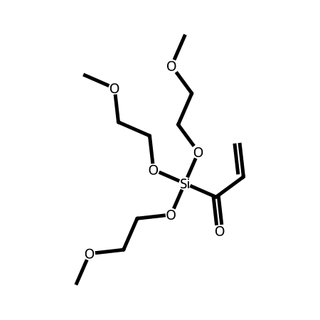 C=CC(=O)[Si](OCCOC)(OCCOC)OCCOC